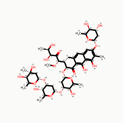 CO[C@H](C(=O)[C@@H](O)[C@@H](C)O)[C@@H]1Cc2cc3cc(O[C@H]4C[C@@H](O)[C@H](O)C(C)O4)c(C)c(O)c3c(O)c2C(=O)[C@H]1O[C@H]1C[C@@H](O[C@H]2C[C@@H](O[C@H]3C[C@](C)(O)[C@H](O)C(C)O3)[C@@H](O)C(C)O2)[C@H](O)C(C)O1